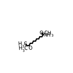 CNC(=O)CCCCCCCCC(=O)C(C)C